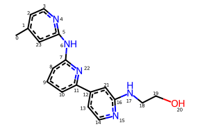 Cc1ccnc(Nc2cccc(-c3ccnc(NCCO)c3)n2)c1